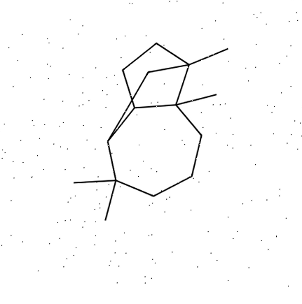 CC1(C)CCCC2(C)C3CCC2(C)CC31